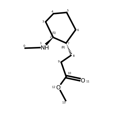 CN[C@H]1CCCC[C@@H]1CCC(=O)OC